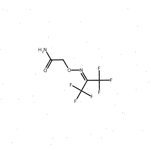 NC(=O)CON=C(C(F)(F)F)C(F)(F)F